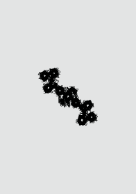 c1ccc2c(-n3c4ccccc4c4ccccc43)sc(-c3ccc(-c4c5nccnc5c(-c5ccc(-c6sc(-n7c8ccccc8c8ccccc87)c7ccccc67)cc5)c5nccnc45)cc3)c2c1